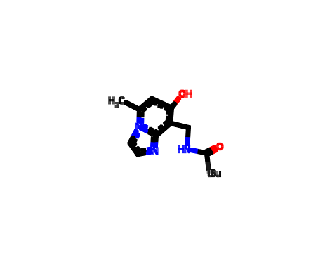 Cc1cc(O)c(CNC(=O)C(C)(C)C)c2nccn12